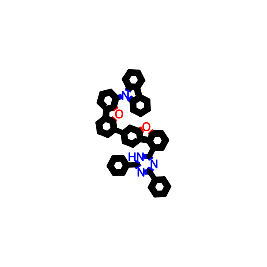 c1ccc(C2=NC(c3cccc4oc5cc(-c6cccc7c6oc6c(-n8c9ccccc9c9ccccc98)cccc67)ccc5c34)NC(c3ccccc3)=N2)cc1